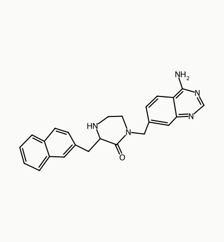 Nc1ncnc2cc(CN3CCNC(Cc4ccc5ccccc5c4)C3=O)ccc12